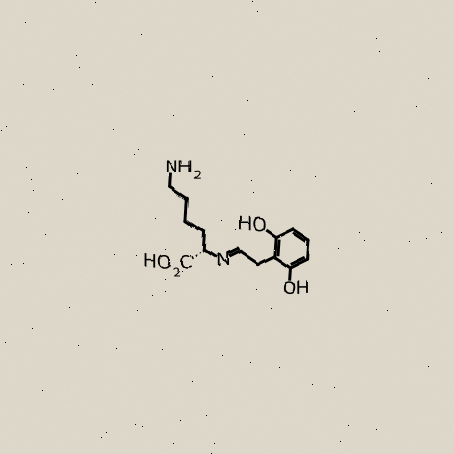 NCCCC[C@H](N=CCc1c(O)cccc1O)C(=O)O